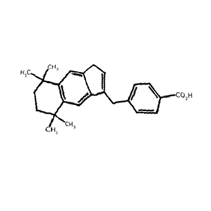 CC1(C)CCC(C)(C)c2cc3c(cc21)CC=C3Cc1ccc(C(=O)O)cc1